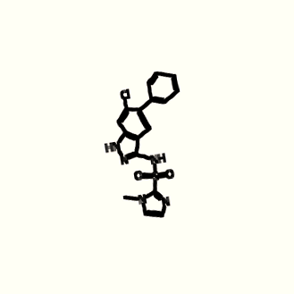 Cn1ccnc1S(=O)(=O)Nc1n[nH]c2cc(Cl)c(-c3ccccc3)cc12